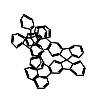 c1ccc(-c2cc3c(cc2N(c2ccccc2)c2ccccc2)C2(c4ccccc4-3)c3ccccc3-c3cc(-c4ccccc4)c(N(c4ccccc4)c4ccc5c(c4)-c4ccccc4C5(c4ccccc4)c4ccccc4)cc32)cc1